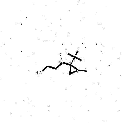 C[C@@H](CCN)[C@@]1(C(F)(F)F)C[C@@H]1C